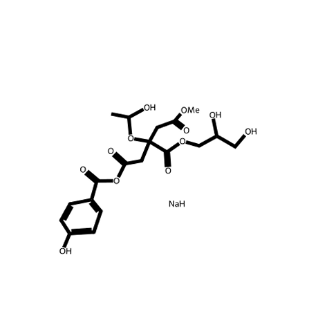 COC(=O)CC(CC(=O)OC(=O)c1ccc(O)cc1)(OC(C)O)C(=O)OCC(O)CO.[NaH]